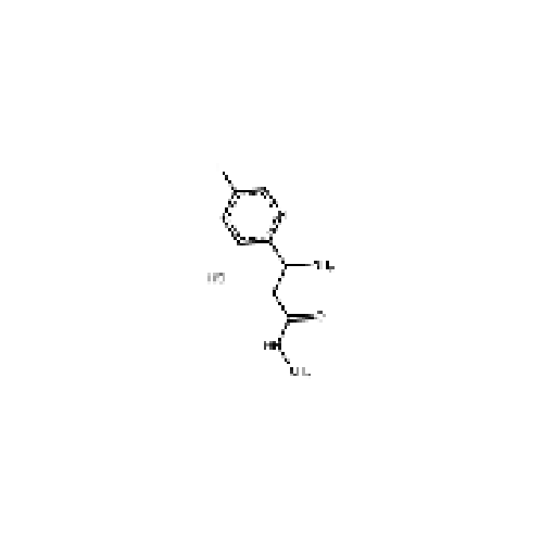 CNC(=O)CC(N)c1ccc(F)cn1.Cl